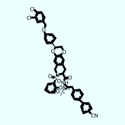 COc1ccccc1S(=O)(=O)N1Cc2cc3c(cc2CC1C(=O)N[C@@H](Cc1ccc(-c2ccc(C#N)cc2)cc1)C(=O)O)OC[C@H](c1ccc(OCc2ccc(Cl)c(Cl)c2)cc1)O3